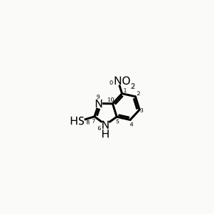 O=[N+]([O-])c1cccc2[nH]c(S)nc12